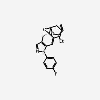 C=C[C@@H](CC)OC12CCCC3=Cc4c(cnn4-c4ccc(F)cc4)C[C@@]31O2